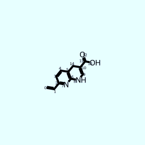 C=Cc1ccc2c(n1)NC=C(C(=O)O)C2